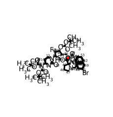 CC(C)(C)OC(=O)O[C@H]1[C@H](F)[C@H](n2ccc(N(C(=O)OC(C)(C)C)C(=O)OC(C)(C)C)nc2=O)S[C@@H]1COP(=O)(NC1(C(=O)O)CCCN1Cc1ccccc1)Oc1ccc(Br)cc1